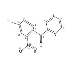 O=C(c1ccccc1)c1ccc(I)cc1[N+](=O)[O-]